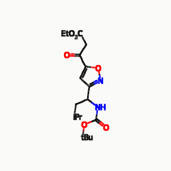 CCOC(=O)CC(=O)c1cc(C(CC(C)C)NC(=O)OC(C)(C)C)no1